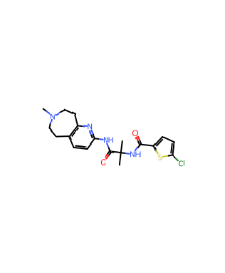 CN1CCc2ccc(NC(=O)C(C)(C)NC(=O)c3ccc(Cl)s3)nc2CC1